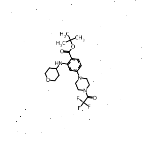 CC(C)(C)OC(=O)c1ccc(N2CCN(C(=O)C(F)(F)F)CC2)cc1NC1CCOCC1